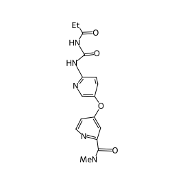 CCC(=O)NC(=O)Nc1ccc(Oc2ccnc(C(=O)NC)c2)cn1